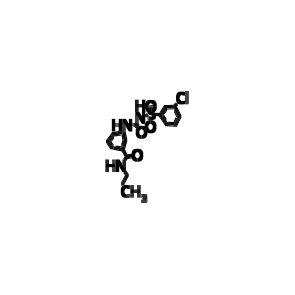 CCCNC(=O)c1cccc(NC(=O)NS(=O)(=O)c2cccc(Cl)c2)c1